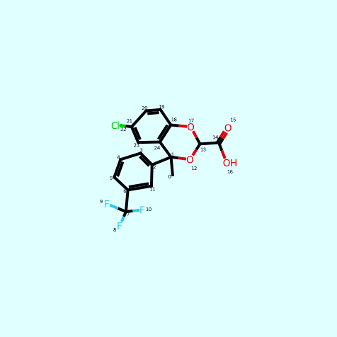 CC1(c2cccc(C(F)(F)F)c2)OC(C(=O)O)Oc2ccc(Cl)cc21